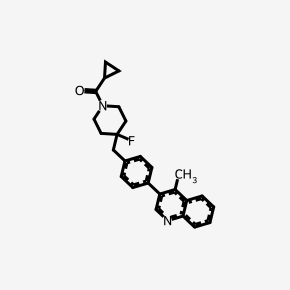 Cc1c(-c2ccc(CC3(F)CCN(C(=O)C4CC4)CC3)cc2)cnc2ccccc12